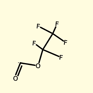 O=[C]OC(F)(F)C(F)(F)F